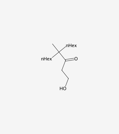 CCCCCCC(C)(CCCCCC)C(=O)CCO